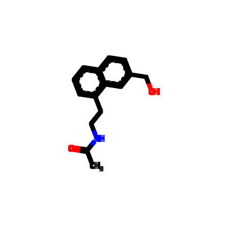 CC(=O)NCCc1cccc2ccc(CO)cc12